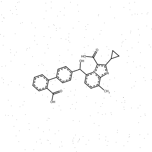 Cc1ccc(C(O)c2ccc(-c3ccccc3C(=O)O)cc2)n2c(C(=O)O)c(C3CC3)nc12